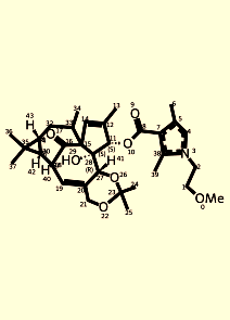 COCCn1cc(C)c(C(=O)O[C@H]2C(C)=CC34C(=O)[C@@H](C=C5COC(C)(C)O[C@H]5[C@]23O)[C@@H]2[C@@H](CC4C)C2(C)C)c1C